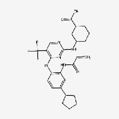 C=CC(=O)Nc1cc(C2CCCC2)ccc1Nc1nc(NC2CCCC(C(=O)O)C2)ncc1C(F)(F)F